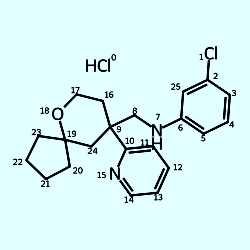 Cl.Clc1cccc(NCC2(c3ccccn3)CCOC3(CCCC3)C2)c1